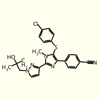 Cn1c(-c2ccn(CC(C)(C)O)n2)nc(-c2ccc(C#N)cc2)c1Sc1ccc(Cl)cc1